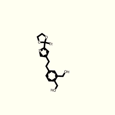 CCC1(c2cc(CCc3ccc(CO)c(CO)c3)cs2)OCCO1